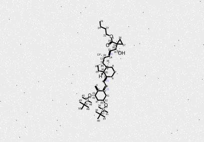 C=C1/C(=C\C=C2/CCC[C@]3(C)[C@@H]([C@H](C)/C=C/[C@@H](O)C4(C(=O)OCCCC)CC4)CC[C@@H]23)C[C@@H](O[Si](C)(C)C(C)(C)C)C[C@@H]1O[Si](C)(C)C(C)(C)C